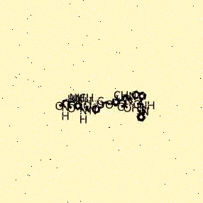 CNc1cc(NC(=O)CN2CCC(CC(C)COc3ccc(-c4ccc(N5CCc6cccc(C(=O)Nc7nc8ccccc8s7)c6C5)nc4C(=O)O)c(C)c3)CC2)ccc1C(=N)C1CCC(=O)NC1=O